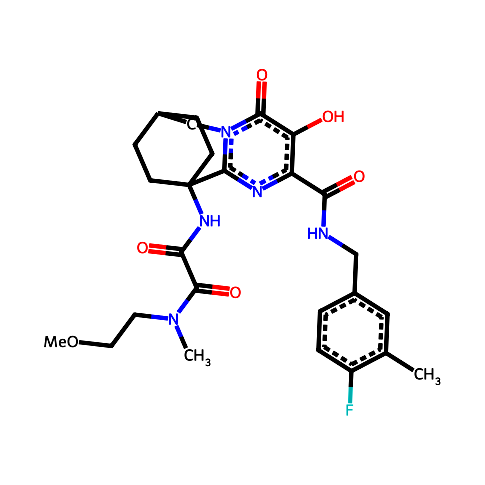 COCCN(C)C(=O)C(=O)NC12CCC(CC1)Cn1c2nc(C(=O)NCc2ccc(F)c(C)c2)c(O)c1=O